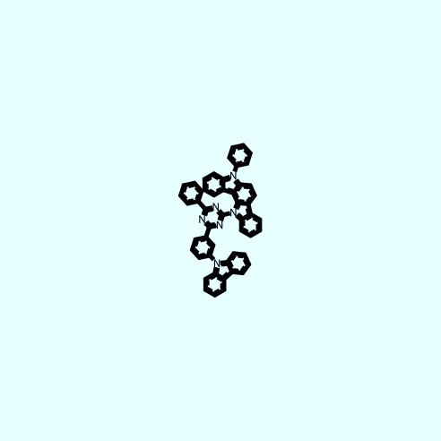 c1ccc(-c2nc(-c3cccc(-n4c5ccccc5c5ccccc54)c3)nc(-n3c4ccccc4c4ccc5c(c6ccccc6n5-c5ccccc5)c43)n2)cc1